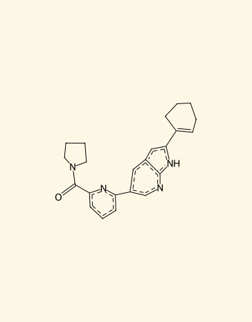 O=C(c1cccc(-c2cnc3[nH]c(C4=CCCCC4)cc3c2)n1)N1CCCC1